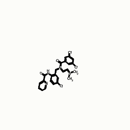 CN(C)CCN(Cc1cc(Cl)ccc1NC(=O)c1ccccn1)C(=O)c1cc(Cl)cc(Cl)c1